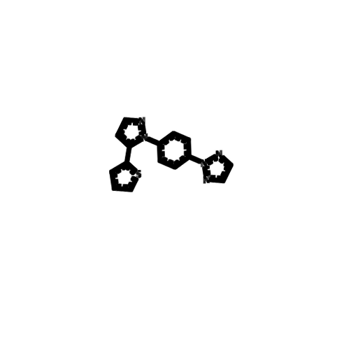 c1csc(-c2ccnn2-c2ccc(-n3nccn3)cc2)c1